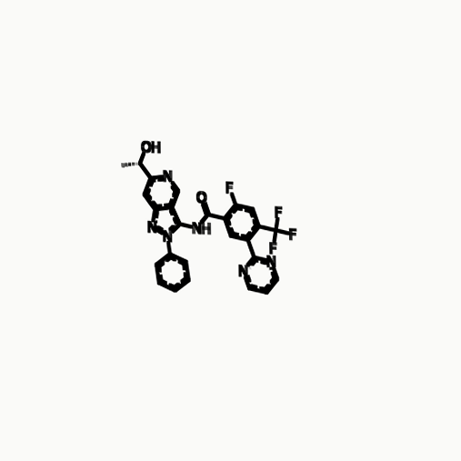 C[C@H](O)c1cc2nn(-c3ccccc3)c(NC(=O)c3cc(-c4ncccn4)c(C(F)(F)F)cc3F)c2cn1